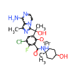 Cc1nc(C(C)(O)c2cc(Cl)c(F)c(C(=O)N[C@]3(C)CC[C@@H](O)CC3)c2OC(C)C)n2ccnc(N)c12